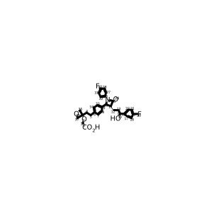 O=C(O)COC1(CCc2ccc(C3[C@@H](CCC(O)c4ccc(F)cc4)C(=O)N3c3ccc(F)cc3)cc2)COC1